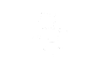 Cn1cnc2c1c(=O)n(C[Si](C)(C)C)c(=O)n2C